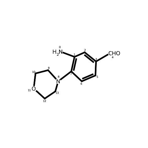 Nc1cc(C=O)ccc1N1CCOCC1